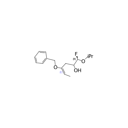 C/C=C(\CC(O)[C@@H](F)OC(C)C)OCc1ccccc1